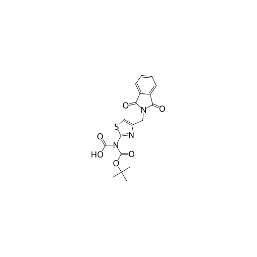 CC(C)(C)OC(=O)N(C(=O)O)c1nc(CN2C(=O)c3ccccc3C2=O)cs1